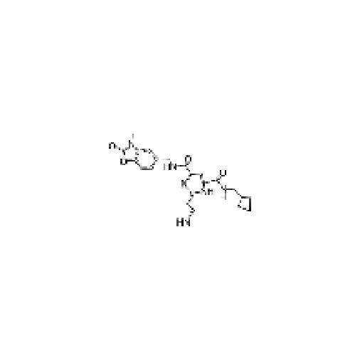 Cn1c(=O)oc2ccc(CNC(=O)C3=N/C(=C/C=N)NC(C(=O)NCC4CCC4)=C3)cc21